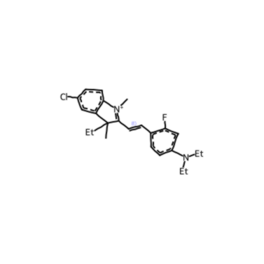 CCN(CC)c1ccc(/C=C/C2=[N+](C)c3ccc(Cl)cc3C2(C)CC)c(F)c1